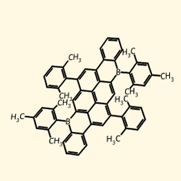 Cc1cc(C)c(B2c3ccccc3-c3cc(-c4c(C)cccc4C)c4cc5c6c(cc(-c7c(C)cccc7C)c7cc2c3c4c76)-c2ccccc2B5c2c(C)cc(C)cc2C)c(C)c1